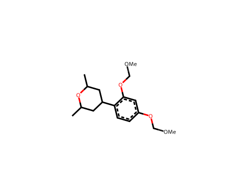 COCOc1ccc(C2CC(C)OC(C)C2)c(OCOC)c1